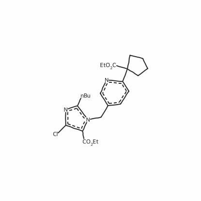 CCCCc1nc(Cl)c(C(=O)OCC)n1Cc1ccc(C2(C(=O)OCC)CCCC2)nc1